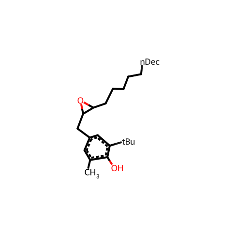 CCCCCCCCCCCCCCCC1OC1Cc1cc(C)c(O)c(C(C)(C)C)c1